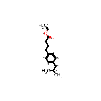 C=COC(=O)CCCc1ccc(CC(C)C)cc1